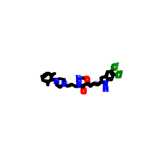 CO/C(=C\C=C\c1cc2cc(Cl)c(Cl)cc2[nH]1)C(=O)NCCCN1CCN(c2c(C)cccc2C)CC1